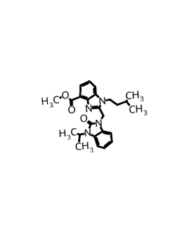 COC(=O)c1cccc2c1nc(Cn1c(=O)n(C(C)C)c3ccccc31)n2CCC(C)C